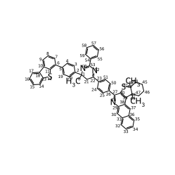 CC1(c2ccc(-c3cccc4c3sc3ccccc34)cc2)CC(c2ccc(-c3nc4cc5ccccc5cc4c4c3SC3(C)CCCCC43C)cc2)=NC(c2ccccc2)=N1